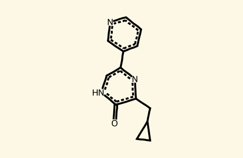 O=c1[nH]cc(-c2cccnc2)nc1CC1CC1